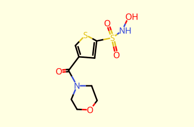 O=C(c1csc(S(=O)(=O)NO)c1)N1CCOCC1